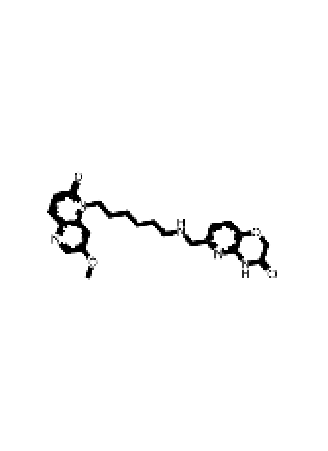 COc1cnc2ccc(=O)n(CCCCCCNCc3ccc4c(n3)NC(=O)CO4)c2c1